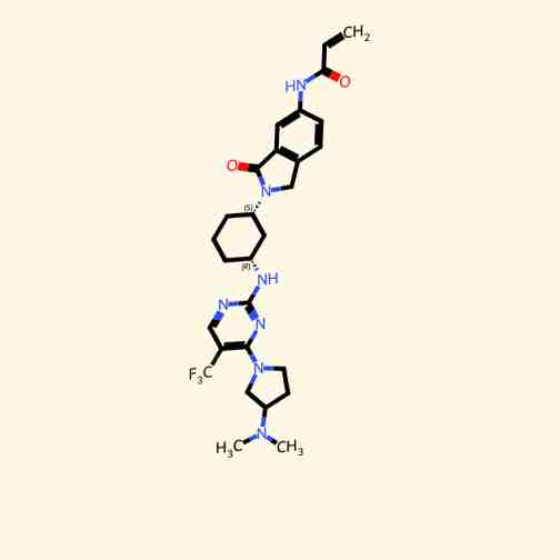 C=CC(=O)Nc1ccc2c(c1)C(=O)N([C@H]1CCC[C@@H](Nc3ncc(C(F)(F)F)c(N4CCC(N(C)C)C4)n3)C1)C2